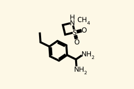 C.CCc1ccc(C(N)N)cc1.O=S1(=O)CCN1